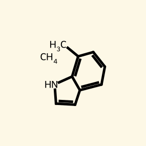 C.Cc1cccc2cc[nH]c12